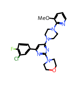 COc1cccnc1N1CCN(c2cc(-c3ccc(F)c(Cl)c3)nc(N3CCOCC3)n2)CC1